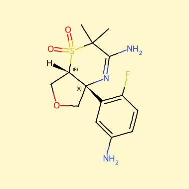 CC1(C)C(N)=N[C@]2(c3cc(N)ccc3F)COC[C@@H]2S1(=O)=O